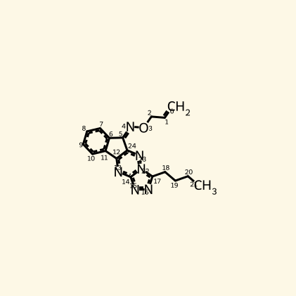 C=CCON=C1c2ccccc2-c2nc3nnc(CCCC)n3nc21